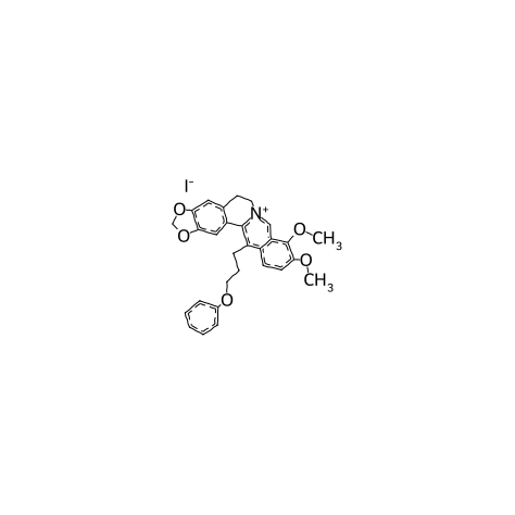 COc1ccc2c(CCCOc3ccccc3)c3[n+](cc2c1OC)CCc1cc2c(cc1-3)OCO2.[I-]